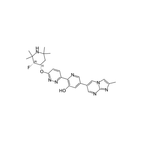 Cc1cn2cc(-c3cnc(-c4ccc(O[C@H]5CC(C)(C)NC(C)(C)[C@H]5F)nn4)c(O)c3)cnc2n1